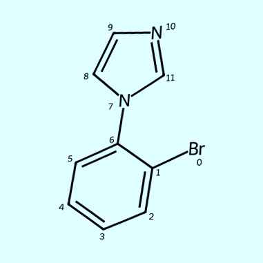 Brc1ccccc1-n1ccnc1